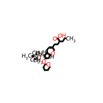 CCCC(CCC1=CC[C@@H]2[C@@H](CO[Si](C)(C)C(C)(C)C)[C@H](OC3CCCCO3)C[C@H]2OC1)C(=O)O